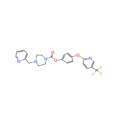 O=C(Oc1ccc(Oc2ccc(C(F)(F)F)cn2)cc1)N1CCN(Cc2ccccn2)CC1